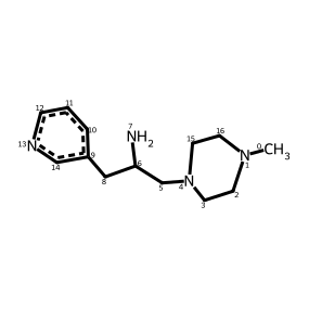 CN1CCN(CC(N)Cc2cccnc2)CC1